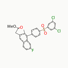 COC(=O)Cc1cc2ccc(F)cc2c(-c2ccc(S(=O)(=O)c3cc(Cl)cc(Cl)c3)cc2)c1C